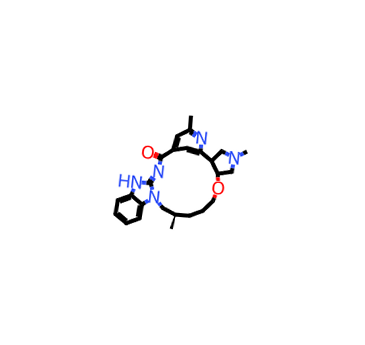 Cc1cc2cc(n1)C1CN(C)CC1OCCC[C@@H](C)CN1/C(=N/C2=O)Nc2ccccc21